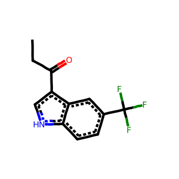 CCC(=O)c1c[nH]c2ccc(C(F)(F)F)cc12